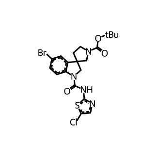 CC(C)(C)OC(=O)N1CCC2(C1)CN(C(=O)Nc1ncc(Cl)s1)c1ccc(Br)cc12